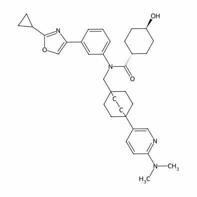 CN(C)c1ccc(C23CCC(CN(c4cccc(-c5coc(C6CC6)n5)c4)C(=O)[C@H]4CC[C@H](O)CC4)(CC2)CC3)cn1